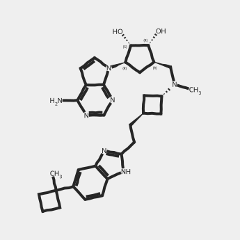 CN(C[C@H]1C[C@@H](n2ccc3c(N)ncnc32)[C@H](O)[C@@H]1O)[C@H]1C[C@H](CCc2nc3cc(C4(C)CCC4)ccc3[nH]2)C1